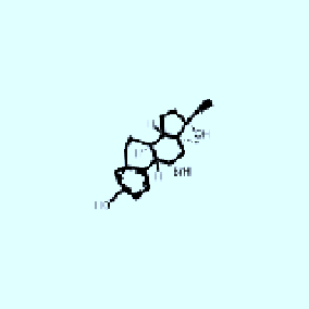 Br.C#C[C@]1(O)CC[C@H]2[C@@H]3CCc4cc(O)ccc4[C@H]3CC[C@@]21C